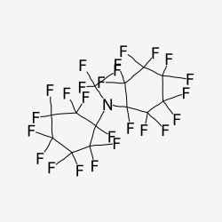 FC(F)(F)N(C1(F)C(F)(F)C(F)(F)C(F)(F)C(F)(F)C1(F)F)C1(F)C(F)(F)C(F)(F)C(F)(F)C(F)(F)C1(F)F